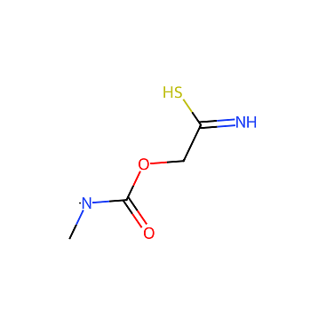 C[N]C(=O)OCC(=N)S